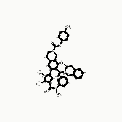 Cc1ccc(OC(=O)N2CCc3cc(-c4cc(C(=O)N(C)c5ccccc5)c(C)n4C)c(C(=O)N4Cc5ccccc5C[C@@H]4C)cc3C2)cc1